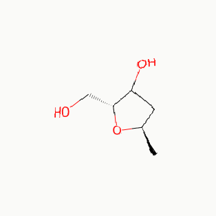 C[C@@H]1CC(O)[C@@H](CO)O1